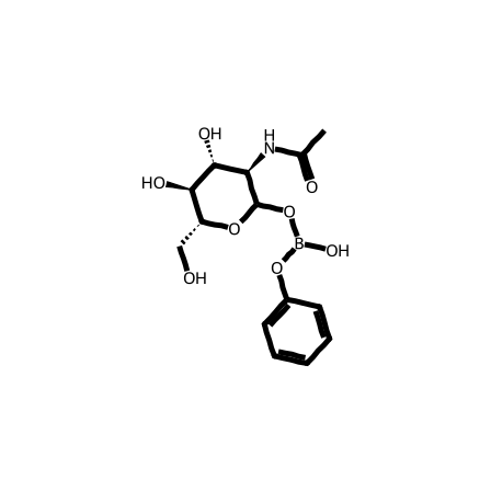 CC(=O)N[C@H]1C(OB(O)Oc2ccccc2)O[C@H](CO)[C@@H](O)[C@@H]1O